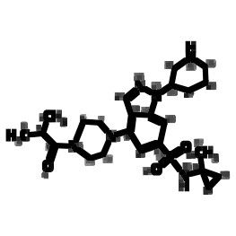 CC(C)C(=O)N1CCN(c2cc(S(=O)(=O)NC3(C)CC3)cc3c2cnn3C2CCCNC2)CC1